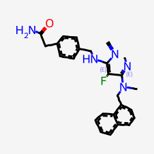 C=N/C(NCc1ccc(CC(N)=O)cc1)=C(F)\C(=N/C)N(C)Cc1cccc2ccccc12